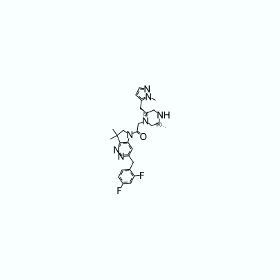 C[C@@H]1CN(CC(=O)N2CC(C)(C)c3nnc(Cc4ccc(F)cc4F)cc32)[C@@H](Cc2ccnn2C)CN1